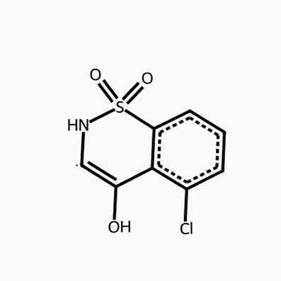 O=S1(=O)N[C]=C(O)c2c(Cl)cccc21